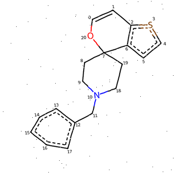 C1=Cc2sccc2C2(CCN(Cc3ccccc3)CC2)O1